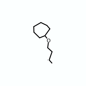 C[CH]CCOC1CCCCCC1